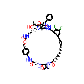 CC(C)C1NC(=O)CCCCCC2CC(C2)c2cc(F)c(F)c(c2)-c2nc(n(Cc3ccccc3)n2)[C@@H](C(C)(C)C)N(C(=O)[C@H](C)O)CCCNC(=O)OCc2ccc(cc2)NC(=O)CNC1=O